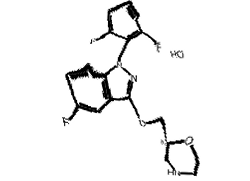 Cl.Fc1ccc2c(c1)c(OC[C@@H]1CNCCO1)nn2-c1c(F)cccc1F